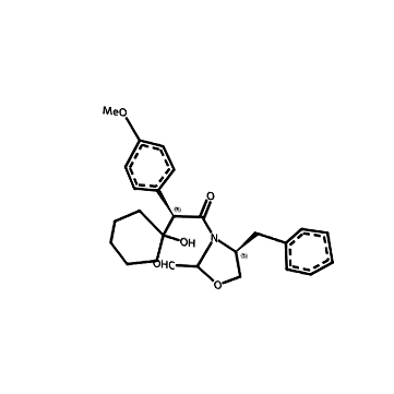 COc1ccc([C@@H](C(=O)N2C(C=O)OC[C@@H]2Cc2ccccc2)C2(O)CCCCC2)cc1